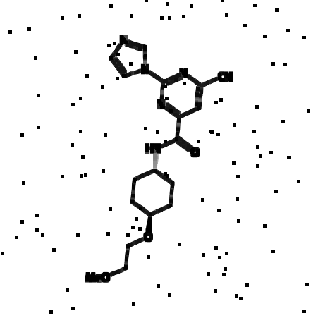 COCCO[C@H]1CC[C@H](NC(=O)c2cc(C#N)nc(-n3ccnc3)n2)CC1